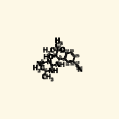 CC(C)NC(=NC#N)N[C@H]1c2cc(C#N)ccc2OC(C)(C)[C@@H]1O